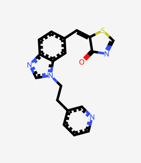 O=C1N=CSC1=Cc1ccc2ncn(CCc3cccnc3)c2c1